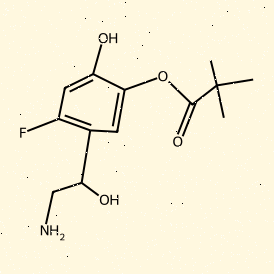 CC(C)(C)C(=O)Oc1cc(C(O)CN)c(F)cc1O